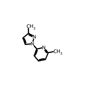 Cc1cccc(-n2ccc(C)n2)n1